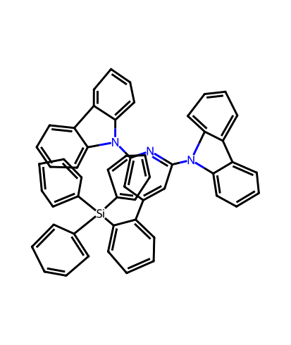 c1ccc([Si](c2ccccc2)(c2ccccc2)c2ccccc2-c2cc(-n3c4ccccc4c4ccccc43)nc(-n3c4ccccc4c4ccccc43)c2)cc1